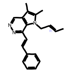 C/C=C/Cn1c(C)c(C)c2cnnc(C=Cc3ccccc3)c21